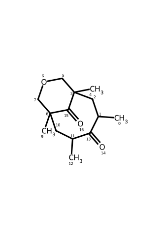 CC1CC2(C)COCC(C)(CC(C)C1=O)C2=O